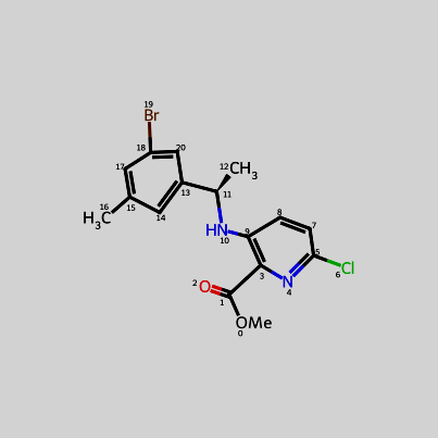 COC(=O)c1nc(Cl)ccc1N[C@H](C)c1cc(C)cc(Br)c1